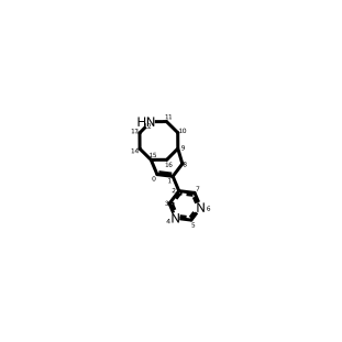 C1=C(c2cncnc2)CC2CCNCCC1C2